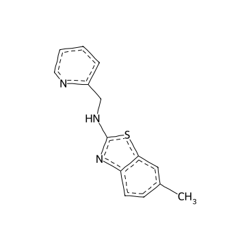 Cc1ccc2nc(NCc3ccccn3)sc2c1